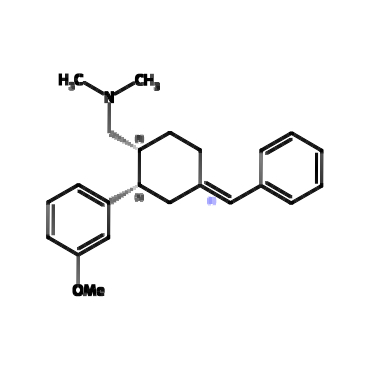 COc1cccc([C@H]2C/C(=C/c3ccccc3)CC[C@H]2CN(C)C)c1